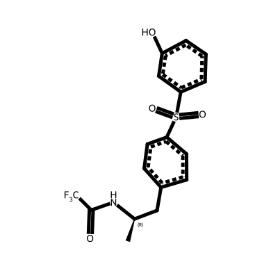 C[C@H](Cc1ccc(S(=O)(=O)c2cccc(O)c2)cc1)NC(=O)C(F)(F)F